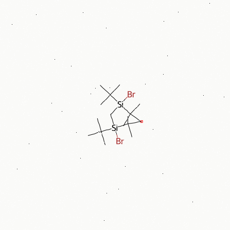 CC(C)(C)[Si](Br)(C[Si](Br)(C(C)(C)C)C(C)(C)C)C(C)(C)C